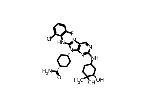 CC1(C)CCC(Nc2ncc3nc(Nc4c(F)cccc4Cl)n([C@H]4CC[C@@H](C(N)=O)CC4)c3n2)C[C@H]1O